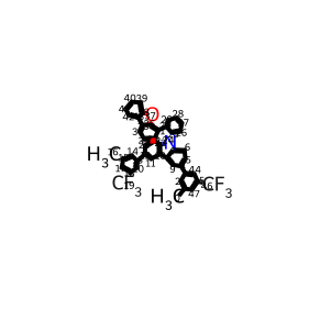 Cc1cc(-c2ccc3c(c2)c2cc(-c4cc(C)cc(C(F)(F)F)c4)ccc2n3-c2ccccc2-c2cccc3c2oc2ccccc23)cc(C(F)(F)F)c1